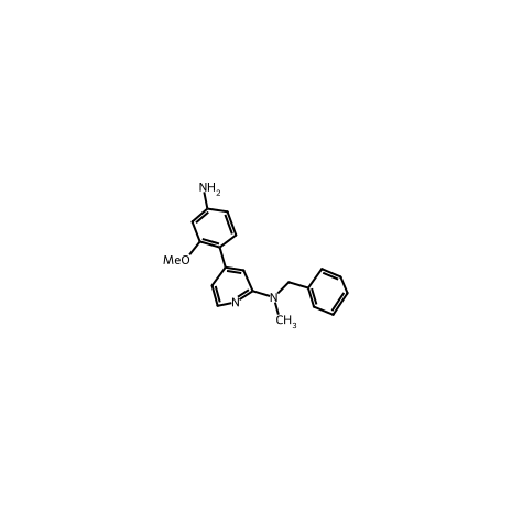 COc1cc(N)ccc1-c1ccnc(N(C)Cc2ccccc2)c1